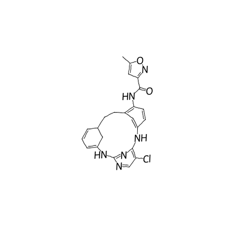 Cc1cc(C(=O)Nc2ccc3cc2CCC2C=CC=C(C2)Nc2ncc(Cl)c(n2)N3)no1